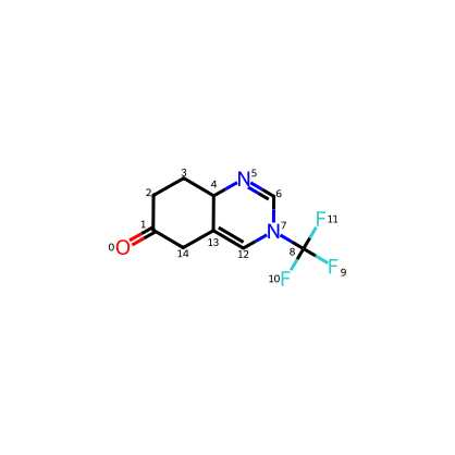 O=C1CCC2N=CN(C(F)(F)F)C=C2C1